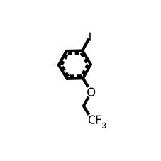 FC(F)(F)COc1c[c]cc(I)c1